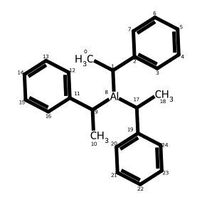 C[CH](c1ccccc1)[Al]([CH](C)c1ccccc1)[CH](C)c1ccccc1